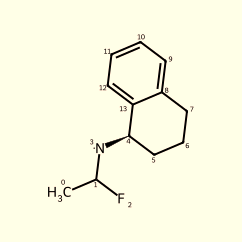 CC(F)[N][C@@H]1CCCc2ccccc21